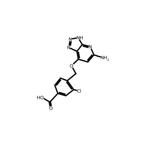 Nc1cc(OCc2ccc(C(=O)O)cc2Cl)c2nn[nH]c2n1